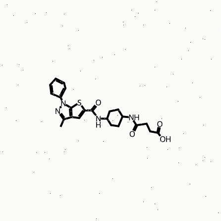 Cc1nn(-c2ccccc2)c2sc(C(=O)NC3CCC(NC(=O)CCC(=O)O)CC3)cc12